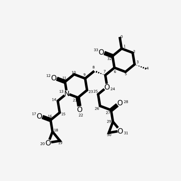 CC1C[C@H](C)CC([C@@H](CC2CC(=O)N(CCC(=O)C3CO3)C(=O)C2)OCCC(=O)C2CO2)C1=O